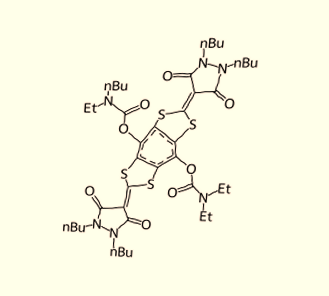 CCCCN(CC)C(=O)Oc1c2c(c(OC(=O)N(CC)CC)c3c1SC(=C1C(=O)N(CCCC)N(CCCC)C1=O)S3)SC(=C1C(=O)N(CCCC)N(CCCC)C1=O)S2